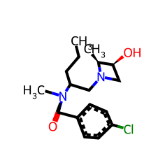 CCCC(CN1C[C@H](O)[C@@H]1C)N(C)C(=O)c1ccc(Cl)cc1